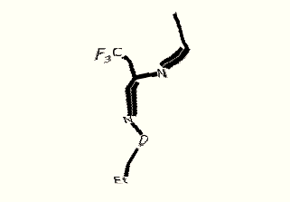 C/C=N\C(=N/OCC)C(F)(F)F